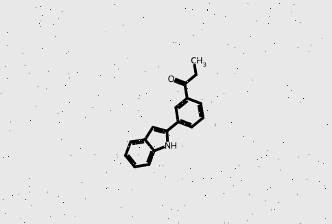 CCC(=O)c1cccc(-c2cc3ccccc3[nH]2)c1